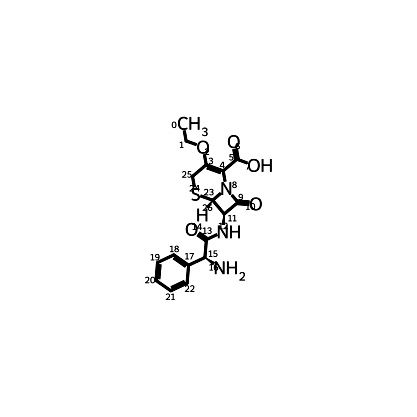 CCOC1=C(C(=O)O)N2C(=O)[C@@H](NC(=O)[C@@H](N)c3ccccc3)[C@@H]2SC1